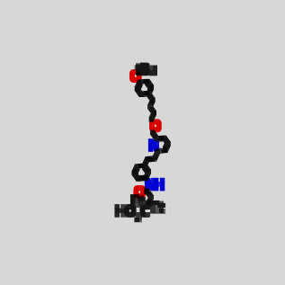 CCC(CC)(CC(=O)Nc1cccc(C=Cc2cccc(COCCCCc3ccc(OC(C)(C)C)cc3)n2)c1)C(=O)O